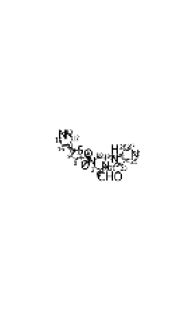 O=CC1CN(S(=O)(=O)c2ccc(-c3ccncc3)s2)CCN1Cc1cc2cnccc2[nH]1